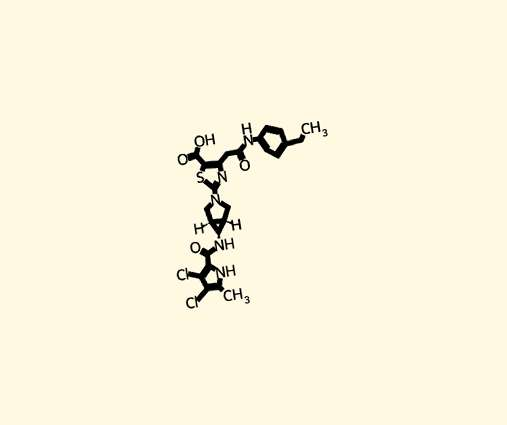 CCc1ccc(NC(=O)Cc2nc(N3C[C@@H]4[C@H](C3)[C@H]4NC(=O)c3[nH]c(C)c(Cl)c3Cl)sc2C(=O)O)cc1